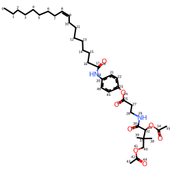 CCCCCCCC/C=C\CCCCCCCC(=O)Nc1ccc(OC(=O)CCNC(=O)C(OC(C)=O)C(C)(C)COC(C)=O)cc1